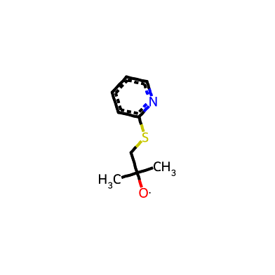 CC(C)([O])CSc1ccccn1